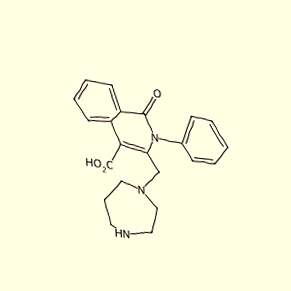 O=C(O)c1c(CN2CCCNCC2)n(-c2ccccc2)c(=O)c2ccccc12